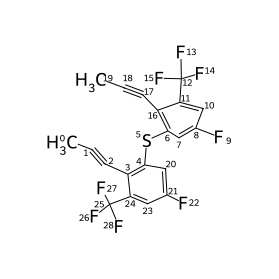 CC#Cc1c(Sc2cc(F)cc(C(F)(F)F)c2C#CC)cc(F)cc1C(F)(F)F